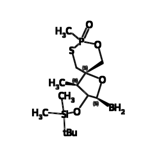 B[C@@H]1O[C@]2(COP(C)(=O)SC2)[C@H](C)C1O[Si](C)(C)C(C)(C)C